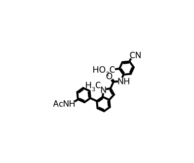 CC(=O)Nc1cccc(-c2cccc3cc(C(=O)Nc4ccc(C#N)cc4C(=O)O)n(C)c23)c1